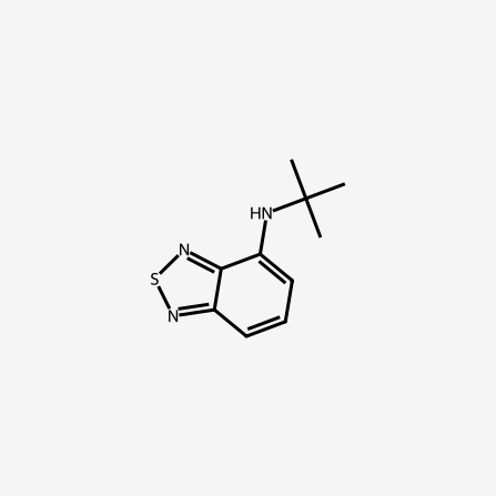 CC(C)(C)Nc1cccc2nsnc12